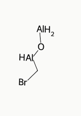 [AlH2][O][AlH][CH2]Br